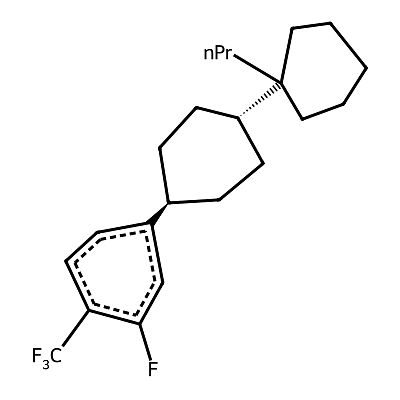 CCCC1([C@H]2CC[C@H](c3ccc(C(F)(F)F)c(F)c3)CC2)CCCCC1